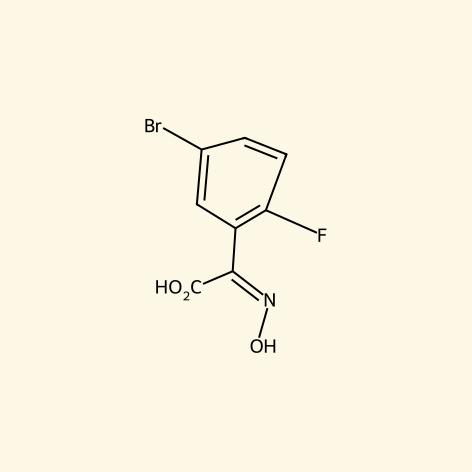 O=C(O)C(=NO)c1cc(Br)ccc1F